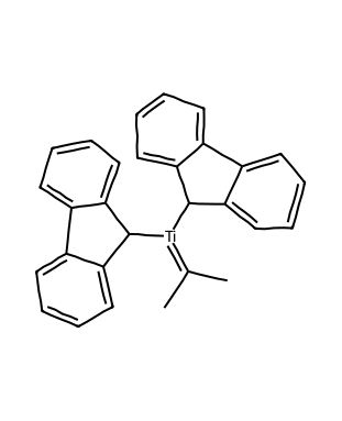 C[C](C)=[Ti]([CH]1c2ccccc2-c2ccccc21)[CH]1c2ccccc2-c2ccccc21